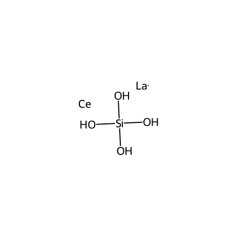 O[Si](O)(O)O.[Ce].[La]